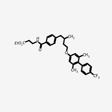 CCOC(=O)CCNC(=O)c1ccc(CC(C)CCOc2cc(C)c(-c3ccc(C(F)(F)F)cc3)c(C)c2)cc1